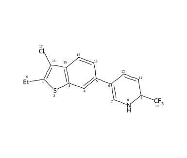 CCc1sc2cc(C3=CNC(C(F)(F)F)C=C3)ccc2c1Cl